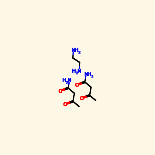 CC(=O)CC(N)=O.CC(=O)CC(N)=O.NCCN